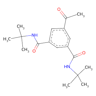 CC(=O)c1cc(C(=O)NC(C)(C)C)cc(C(=O)NC(C)(C)C)c1